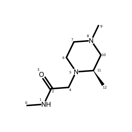 CNC(=O)CN1CCN(C)C[C@H]1C